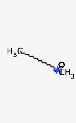 CCCCCCCCCCCCCCCCCN1C=CN(C)C1c1ccccc1